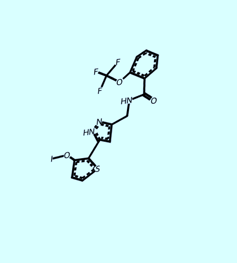 O=C(NCc1cc(-c2sccc2OI)[nH]n1)c1ccccc1OC(F)(F)F